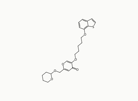 O=c1cc(COC2CCCCO2)occ1OCCCCCOc1cccc2ccsc12